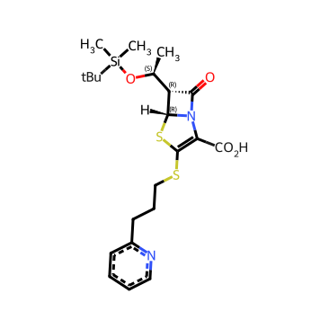 C[C@H](O[Si](C)(C)C(C)(C)C)[C@@H]1C(=O)N2C(C(=O)O)=C(SCCCc3ccccn3)S[C@H]12